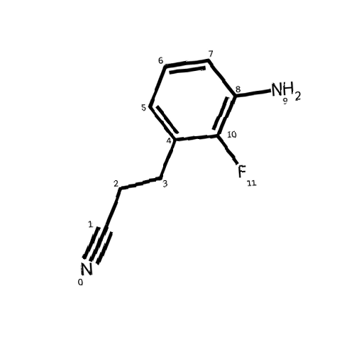 N#CCCc1cccc(N)c1F